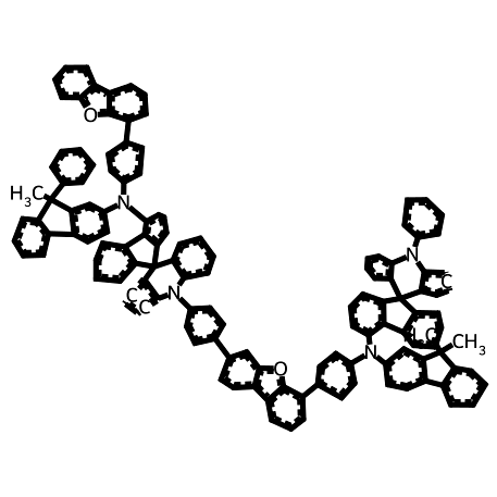 CC1(C)c2ccccc2-c2ccc(N(c3ccc(-c4cccc5c4oc4cc(-c6ccc(N7c8ccccc8C8(c9ccccc9-c9c(N(c%10ccc(-c%11cccc%12c%11oc%11ccccc%11%12)cc%10)c%10ccc%11c(c%10)C(C)(c%10ccccc%10)c%10ccccc%10-%11)cccc98)c8ccccc87)cc6)ccc45)cc3)c3cccc4c3-c3ccccc3C43c4ccccc4N(c4ccccc4)c4ccccc43)cc21